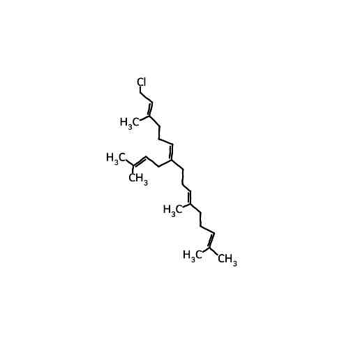 CC(C)=CCC/C(C)=C/CC/C(=C/CC/C(C)=C/CCl)CC=C(C)C